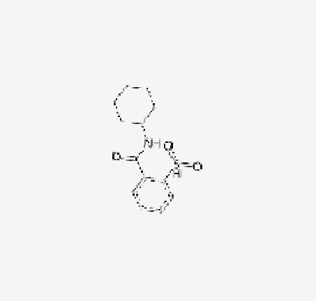 O=C(NC1CCCCC1)c1ccccc1[SH](=O)=O